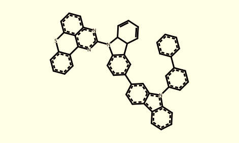 C1=CC2c3cc(-c4ccc5c6ccccc6n(-c6cccc(-c7ccccc7)c6)c5c4)ccc3N(c3nc4c5c(cccc5n3)Sc3ccccc3-4)C2C=C1